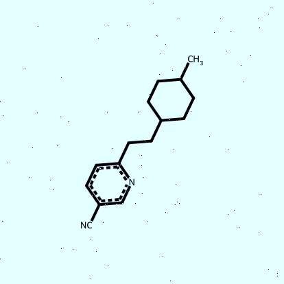 CC1CCC(CCc2ccc(C#N)cn2)CC1